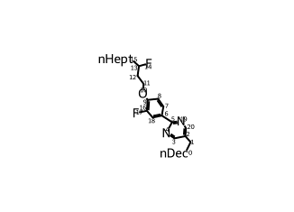 CCCCCCCCCCCc1cnc(-c2ccc(OCCC(F)CCCCCCC)c(F)c2)nc1